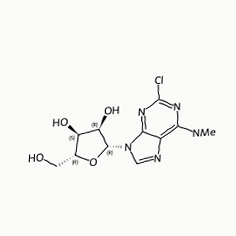 CNc1nc(Cl)nc2c1ncn2[C@@H]1O[C@H](CO)[C@@H](O)[C@H]1O